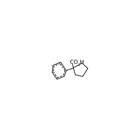 O=C(O)C1(c2c[c]ccc2)CCCC1